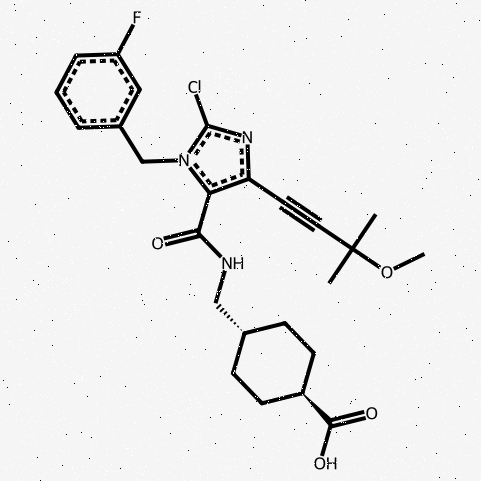 COC(C)(C)C#Cc1nc(Cl)n(Cc2cccc(F)c2)c1C(=O)NC[C@H]1CC[C@H](C(=O)O)CC1